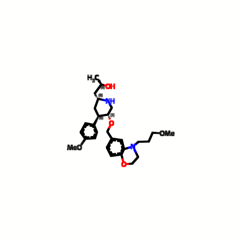 COCCCN1CCOc2ccc(CO[C@H]3CN[C@@H](C[C@@H](C)O)C[C@@H]3c3ccc(OC)cc3)cc21